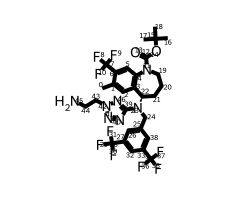 Cc1cc2c(cc1C(F)(F)F)N(C(=O)OC(C)(C)C)CCC[C@@H]2N(Cc1cc(C(F)(F)F)cc(C(F)(F)F)c1)c1nnn(CCN)n1